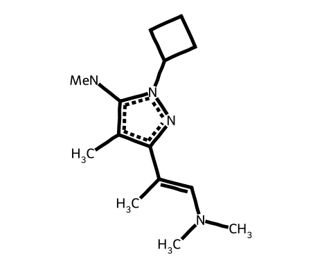 CNc1c(C)c(/C(C)=C/N(C)C)nn1C1CCC1